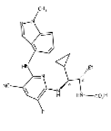 CC[C@H](NC(=O)O)[C@@H](Nc1nc(Nc2cccc3c2cnn3C)c(C#N)cc1F)C1CC1